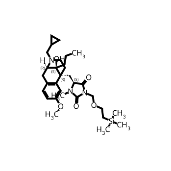 CCC[C@@]1(O)[C@H]2Cc3ccc(OC)cc3[C@]1(C[C@H]1C(=O)N(COCC[Si](C)(C)C)C(=O)N1C)CCN2CC1CC1